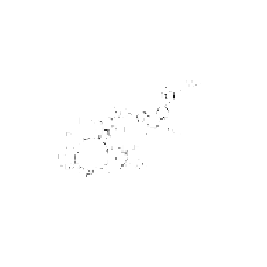 CC[C@H]1OC(=O)[C@H](C)C([C@H]2C[C@@](C)(OC)[C@@H](O)[C@H](C)O2)[C@H](C)[C@@H](O[C@@H]2O[C@H](C)C[C@H](N(C)CCc3cn([C@H](CF)[C@H](OC)c4ccc(-n5cc(COC)nn5)cc4)nn3)[C@H]2O)[C@](C)(O)C[C@@H](C)CN(C)[C@H](C)[C@@H](O)[C@]1(C)O